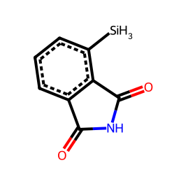 O=C1NC(=O)c2c([SiH3])cccc21